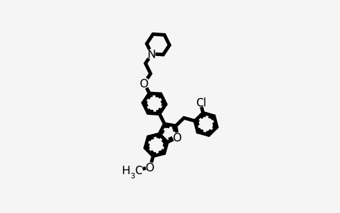 COc1ccc2c(-c3ccc(OCCN4CCCCC4)cc3)c(Cc3ccccc3Cl)oc2c1